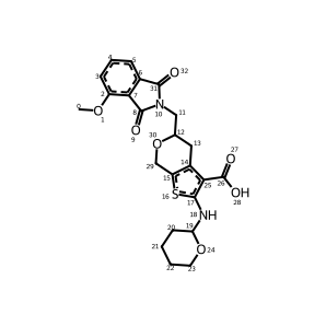 COc1cccc2c1C(=O)N(CC1Cc3c(sc(NC4CCCCO4)c3C(=O)O)CO1)C2=O